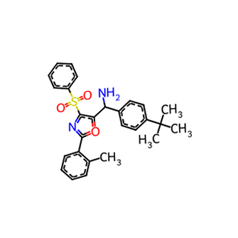 Cc1ccccc1-c1nc(S(=O)(=O)c2ccccc2)c(C(N)c2ccc(C(C)(C)C)cc2)o1